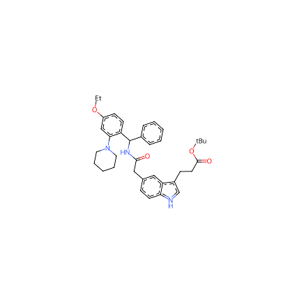 CCOc1ccc(C(NC(=O)Cc2ccc3[nH]cc(CCC(=O)OC(C)(C)C)c3c2)c2ccccc2)c(N2CCCCC2)c1